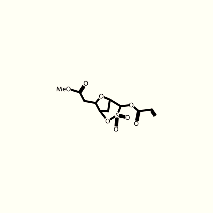 C=CC(=O)OC1C2CC(OS1(=O)=O)C(CC(=O)OC)O2